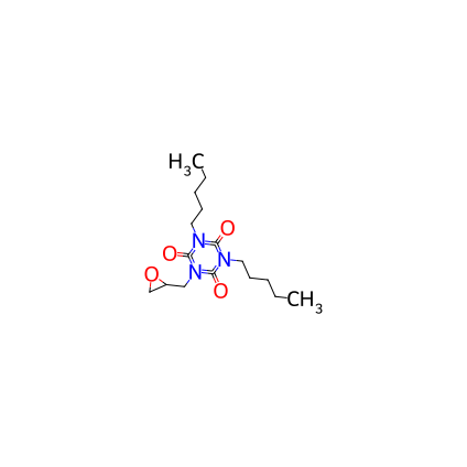 CCCCCn1c(=O)n(CCCCC)c(=O)n(CC2CO2)c1=O